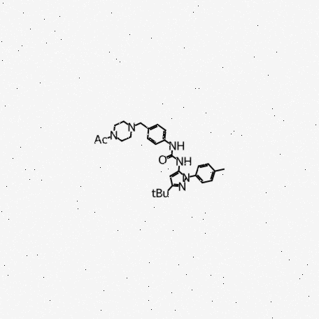 CC(=O)N1CCN(Cc2ccc(NC(=O)Nc3cc(C(C)(C)C)nn3-c3ccc(C)cc3)cc2)CC1